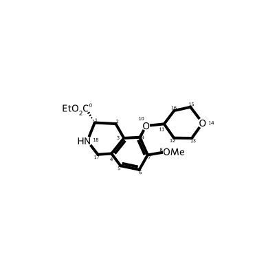 CCOC(=O)[C@@H]1Cc2c(ccc(OC)c2OC2CCOCC2)CN1